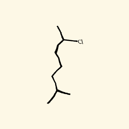 CC(C)CCCC(C)Cl